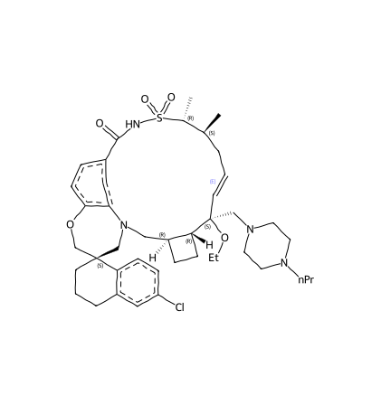 CCCN1CCN(C[C@@]2(OCC)/C=C/C[C@H](C)[C@@H](C)S(=O)(=O)NC(=O)c3ccc4c(c3)N(C[C@@H]3CC[C@H]32)C[C@@]2(CCCc3cc(Cl)ccc32)CO4)CC1